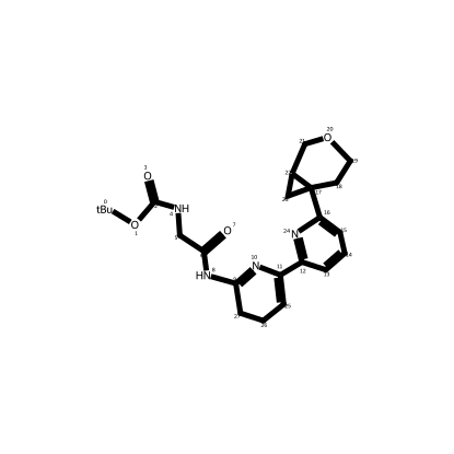 CC(C)(C)OC(=O)NCC(=O)NC1=NC(c2cccc(C34CCOCC3C4)n2)=CCC1